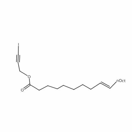 CCCCCCCCC=CCCCCCCCC(=O)OCC#CI